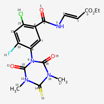 CCOC(=O)C=CNC(=O)c1cc(-n2c(=O)n(C)c(=S)n(C)c2=O)c(F)cc1Cl